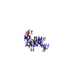 CCOc1ccc(-n2cccc(Nc3cc(NC)n4ncc(CNC5CC5)c4n3)c2=O)nn1